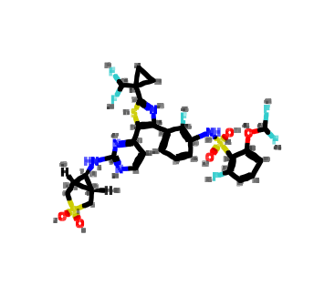 O=S1(=O)C[C@@H]2[C@H](C1)[C@H]2Nc1nccc(-c2sc(C3(C(F)F)CC3)nc2-c2cccc(NS(=O)(=O)c3c(F)cccc3OC(F)F)c2F)n1